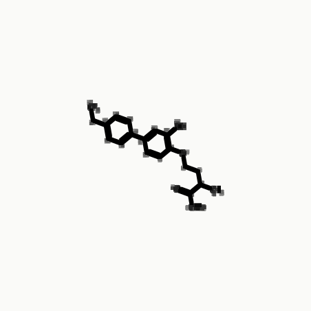 COC(=O)C(C)CCOc1ccc(-c2ccc(CC(F)(F)F)cc2)cc1O